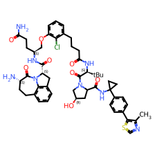 Cc1ncsc1-c1ccc(C2(NC(=O)C3C[C@@H](O)CN3C(=O)[C@@H](NC(=O)CCCc3cccc(OC[C@H](CCC(N)=O)NC(=O)[C@@H]4Cc5cccc6c5N4C(=O)[C@@H](N)CC6)c3Cl)C(C)(C)C)CC2)cc1